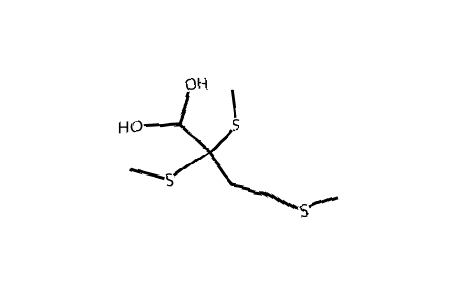 CSCCC(SC)(SC)C(O)O